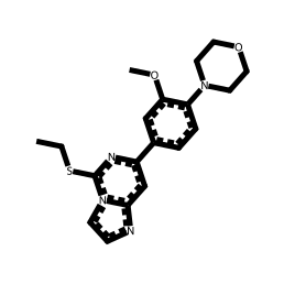 CCSc1nc(-c2ccc(N3CCOCC3)c(OC)c2)cc2nccn12